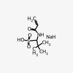 C=CC(=O)NC(C(C)(C)C)S(=O)(=O)O.[NaH]